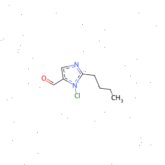 CCCCc1ncc(C=O)n1Cl